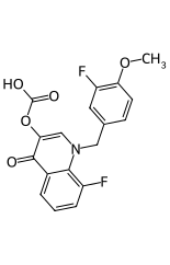 COc1ccc(Cn2cc(OC(=O)O)c(=O)c3cccc(F)c32)cc1F